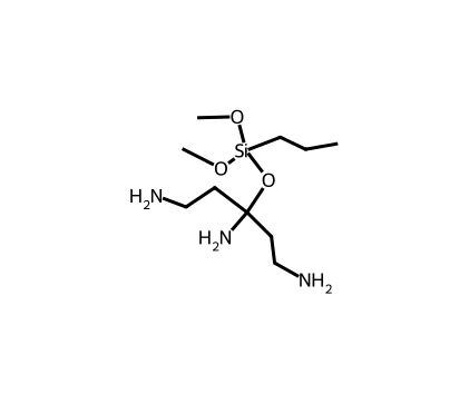 CCC[Si](OC)(OC)OC(N)(CCN)CCN